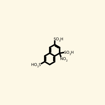 O=[N+]([O-])C1(S(=O)(=O)O)C=C(S(=O)(=O)O)C=C2C=C(S(=O)(=O)O)CC=C21